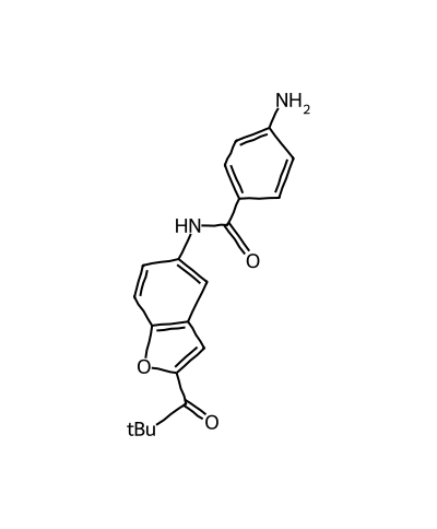 CC(C)(C)C(=O)c1cc2cc(NC(=O)c3ccc(N)cc3)ccc2o1